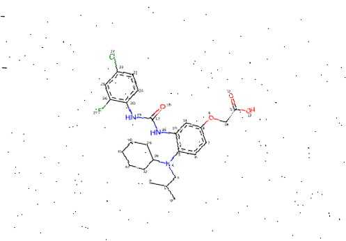 CC(C)CN(c1ccc(OCC(=O)O)cc1NC(=O)Nc1ccc(Cl)cc1F)C1CCCCC1